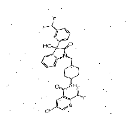 O=C(NC1CCC(CN2C(=O)C(O)(c3cccc(C(F)F)c3)c3ccccc32)CC1)c1cc(Cl)cnc1C(F)F